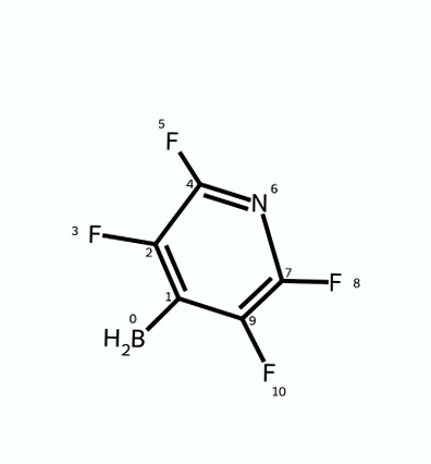 Bc1c(F)c(F)nc(F)c1F